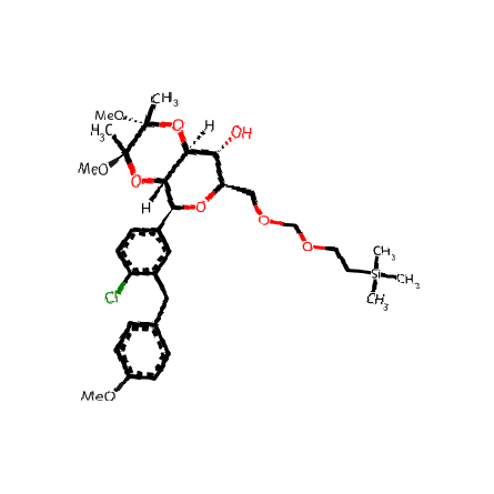 COc1ccc(Cc2cc([C@@H]3O[C@H](COCOCC[Si](C)(C)C)[C@@H](O)[C@@H]4O[C@@](C)(OC)[C@](C)(OC)O[C@H]43)ccc2Cl)cc1